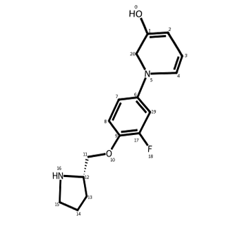 OC1=CC=CN(c2ccc(OC[C@@H]3CCCN3)c(F)c2)C1